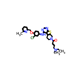 CCN(C)CC=CC(=O)N1CCc2c(sc3ncnc(Nc4ccc(OCc5cccc(C)n5)c(Cl)c4)c23)C1